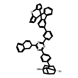 C1=CC(c2nc(-c3ccc(C45CC6C[C@H](C4)C[C@H](C6)C5)cc3)nc(-c3cccc(-c4ccc5c(c4)-c4ccccc4C54c5ccccc5Oc5ccccc54)c3)n2)Cc2ccccc21